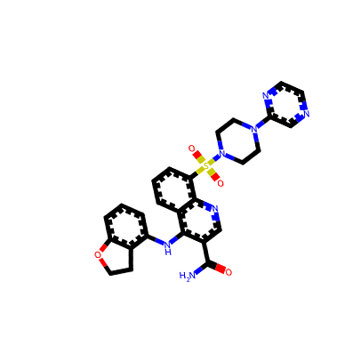 NC(=O)c1cnc2c(S(=O)(=O)N3CCN(c4cnccn4)CC3)cccc2c1Nc1cccc2c1CCO2